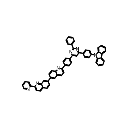 c1ccc(-c2nc(-c3ccc(-c4ccc5cc(-c6ccc7ccc(-c8ccccn8)nc7c6)ccc5n4)cc3)cc(-c3ccc(-n4c5ccccc5c5ccccc54)cc3)n2)cc1